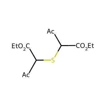 CCOC(=O)C(SC(C(C)=O)C(=O)OCC)C(C)=O